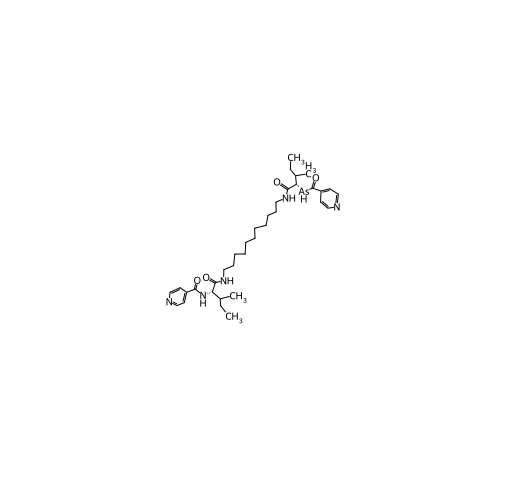 CCC(C)[C@H](NC(=O)c1ccncc1)C(=O)NCCCCCCCCCCCNC(=O)[C@@H]([AsH]C(=O)c1ccncc1)C(C)CC